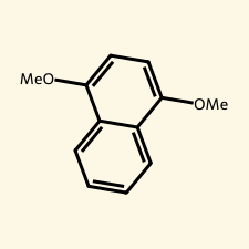 COc1ccc(OC)c2ccccc12